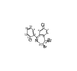 Clc1ccc2c(c1)C(c1ccccc1Cl)=NCC(Br)C2Br